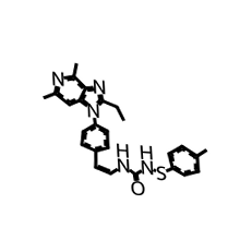 CCc1nc2c(C)nc(C)cc2n1-c1ccc(/C=C\NC(=O)NSc2ccc(C)cc2)cc1